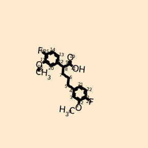 COc1cc(CCCC(C(=O)O)c2ccc(F)c(OC)c2)ccc1F